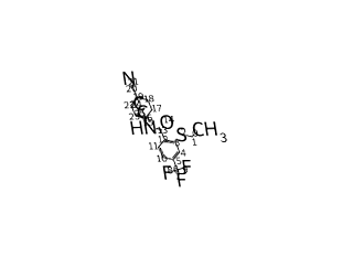 CCSc1cc(C(F)(F)F)ccc1C(=O)NC12CCC(C#N)(CC1)CC2